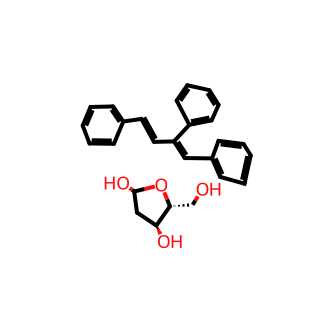 C(=Cc1ccccc1)C(=Cc1ccccc1)c1ccccc1.OC[C@H]1OC(O)C[C@@H]1O